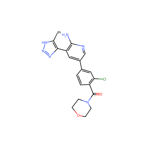 CC(C)c1[nH]nnc1-c1cc(-c2ccc(C(=O)N3CCOCC3)c(Cl)c2)cnc1N